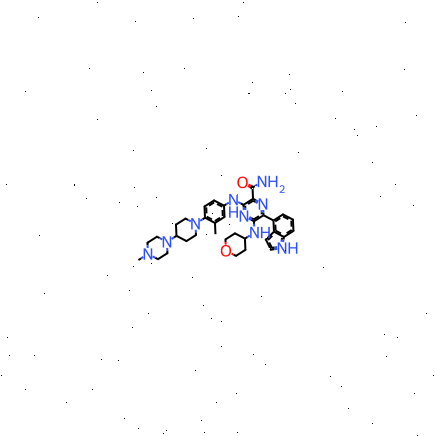 Cc1cc(Nc2nc(NC3CCOCC3)c(-c3cccc4[nH]ccc34)nc2C(N)=O)ccc1N1CCC(N2CCN(C)CC2)CC1